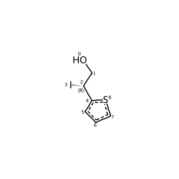 OC[C@@H](I)c1cccs1